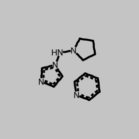 c1ccncc1.c1cn(NN2CCCC2)cn1